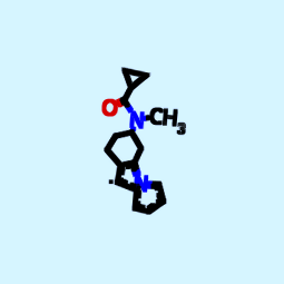 CN(C(=O)C1CC1)[C@@H]1CCc2[c]c3ccccn3c2C1